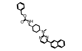 CN(c1nccc(-c2ccc3ccccc3c2)n1)[C@H]1CC[C@H](CNC(=O)OCc2ccccc2)CC1